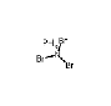 BrN(Br)Br.P